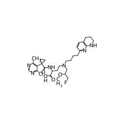 COC(CF)CN(CCCCc1ccc2c(n1)NCCC2)CCC(NC(=O)C1(c2c(C)ncnc2Cl)CC1)C(=O)O